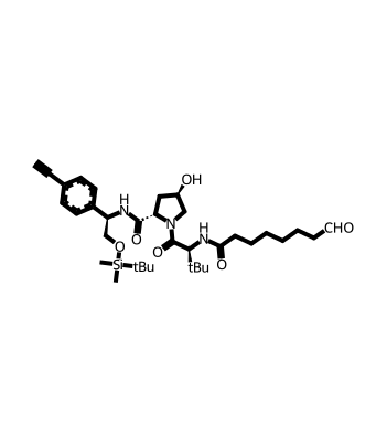 C#Cc1ccc([C@H](CO[Si](C)(C)C(C)(C)C)NC(=O)[C@@H]2C[C@@H](O)CN2C(=O)[C@@H](NC(=O)CCCCCCC=O)C(C)(C)C)cc1